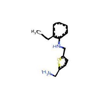 CCc1ccccc1NCc1ccc(CN)s1